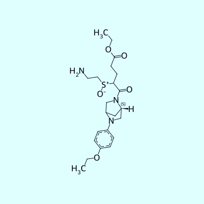 CCOC(=O)CCC(C(=O)N1CC2C[C@H]1CN2c1ccc(OCC)cc1)[S+]([O-])CCN